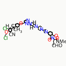 CNC(=O)C(CCC=O)N1C(=O)c2ccc(N3CC(N4CCC(N5C[C@H]6CN(c7nccc(COc8ccc(C(C)(C)c9cc(Cl)c(OCCCl)c(C#N)c9)cc8)n7)C[C@H]6C5)CC4)C3)cc2C1=O